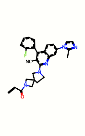 C=CC(=O)N1CC2(CCN(c3nc4cc(-n5ccnc5C)ccc4c(-c4ccccc4F)c3C#N)C2)C1